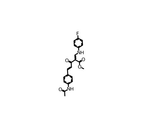 COC(=O)C(=CNc1ccc(F)cc1)C(=O)C=Cc1ccc(NC(C)=O)cc1